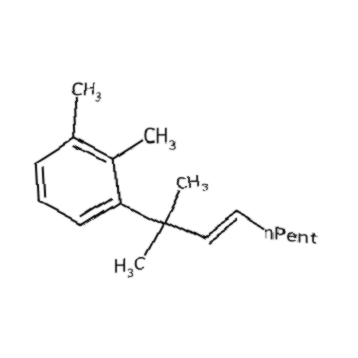 CCCCCC=CC(C)(C)c1cccc(C)c1C